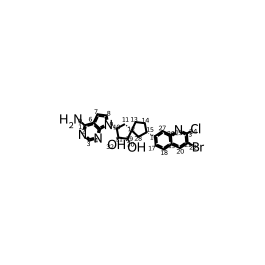 Nc1ncnc2c1ccn2[C@@H]1C[C@@]2(CC[C@H](c3ccc4cc(Br)c(Cl)nc4c3)C2)[C@@H](O)[C@H]1O